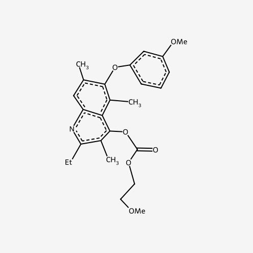 CCc1nc2cc(C)c(Oc3cccc(OC)c3)c(C)c2c(OC(=O)OCCOC)c1C